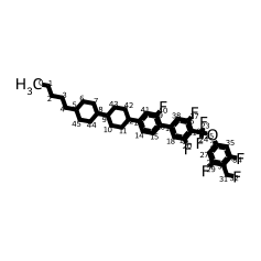 CCCCCC1CCC(C2CCC(c3ccc(-c4cc(F)c(C(F)(F)Oc5cc(F)c(CF)c(F)c5)c(F)c4)c(F)c3)CC2)CC1